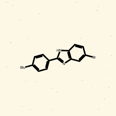 CC(C)(C)c1ccc(-c2nc3cc(Br)ccc3[nH]2)cc1